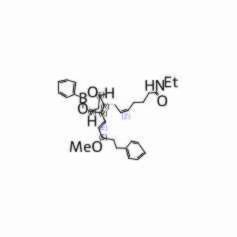 CCNC(=O)CCC/C=C\C[C@@H]1[C@@H](/C=C/[C@H](CCc2ccccc2)OC)[C@H]2C[C@@H]1OB(c1ccccc1)O2